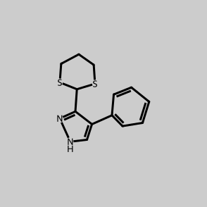 c1ccc(-c2c[nH]nc2C2SCCCS2)cc1